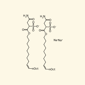 CCCCCCCC/C=C\CCCCCCCCOC(=O)C(CC(N)=O)S(=O)(=O)[O-].CCCCCCCC/C=C\CCCCCCCCOC(=O)C(CC(N)=O)S(=O)(=O)[O-].[Na+].[Na+]